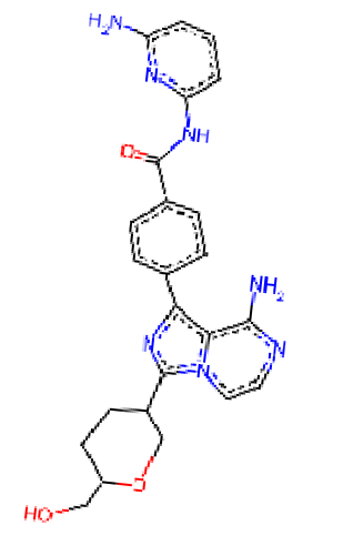 Nc1cccc(NC(=O)c2ccc(-c3nc(C4CCC(CO)OC4)n4ccnc(N)c34)cc2)n1